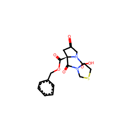 O=C1CN(C(=O)O)[C@](C(=O)OCc2ccccc2)(C(=O)N2CCSC2)C1